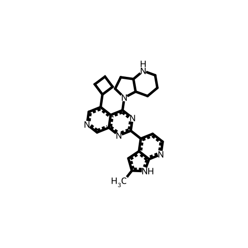 Cc1cc2c(-c3nc(N4CCC5NCCCC54)c4c(C5CCC5)cncc4n3)ccnc2[nH]1